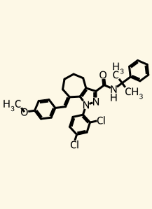 COc1ccc(/C=C2\CCCCc3c(C(=O)NC(C)(C)c4ccccc4)nn(-c4ccc(Cl)cc4Cl)c32)cc1